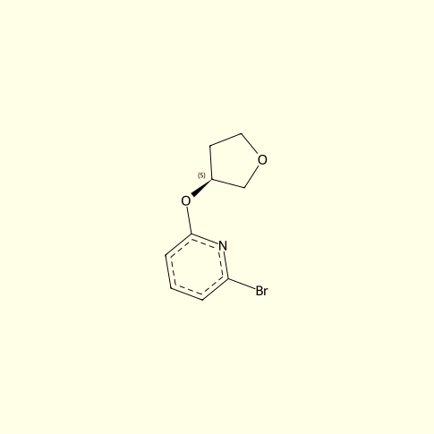 Brc1cccc(O[C@H]2CCOC2)n1